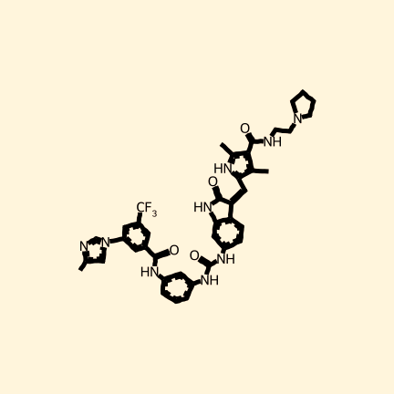 Cc1cn(-c2cc(C(=O)Nc3cccc(NC(=O)Nc4ccc5c(c4)NC(=O)/C5=C\c4[nH]c(C)c(C(=O)NCCN5CCCC5)c4C)c3)cc(C(F)(F)F)c2)cn1